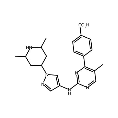 Cc1cnc(Nc2cnn(C3CC(C)NC(C)C3)c2)nc1-c1ccc(C(=O)O)cc1